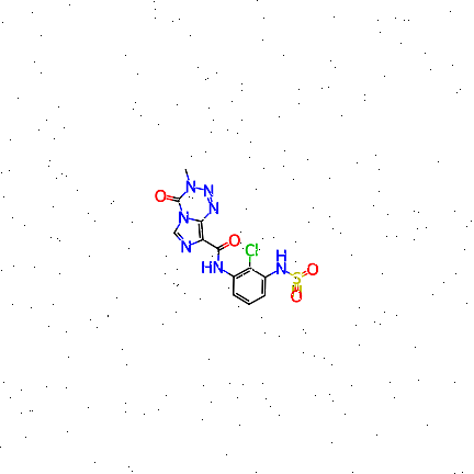 Cn1nnc2c(C(=O)Nc3cccc(N[SH](=O)=O)c3Cl)ncn2c1=O